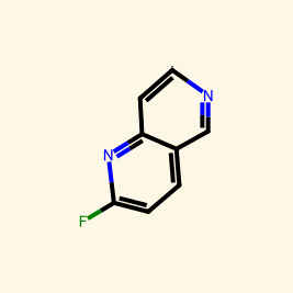 Fc1ccc2cn[c]cc2n1